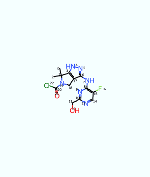 CC1(C)c2[nH]nc(Nc3nc(CO)ncc3F)c2CN1C(=O)Cl